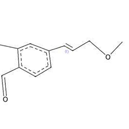 COC/C=C/c1ccc(C=O)c(C)c1